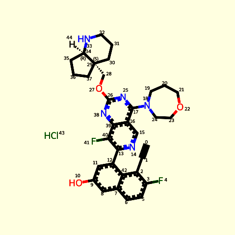 C#Cc1c(F)ccc2cc(O)cc(-c3ncc4c(N5CCCOCC5)nc(OC[C@@]56CCCN[C@@H]5CCC6)nc4c3F)c12.Cl